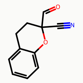 N#CC1(C=O)CCc2ccccc2O1